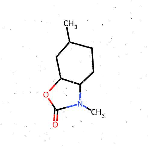 CC1CCC2C(C1)OC(=O)N2C